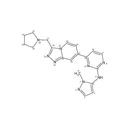 Cn1nccc1Nc1nccc(-c2ccn3c(CN4CCCC4)nnc3c2)n1